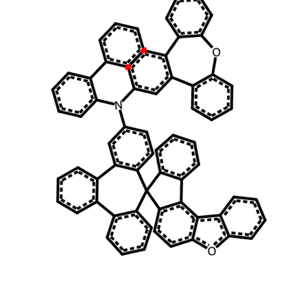 c1ccc(-c2ccccc2N(c2ccc3c(c2)-c2ccccc2Oc2ccccc2-3)c2ccc3c(c2)-c2ccccc2-c2ccccc2C32c3ccccc3-c3c2ccc2oc4ccccc4c32)cc1